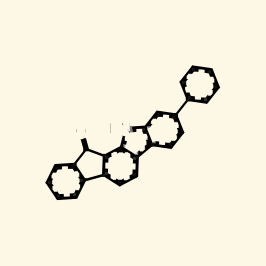 O=C1c2ccccc2-c2ccc3c([nH]c4cc(-c5ccccc5)ccc43)c21